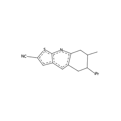 CC(C)C1Cc2cc3cc(C#N)sc3nc2CC1C